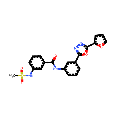 CS(=O)(=O)Nc1cccc(C(=O)Nc2cccc(-c3nnc(-c4ccco4)o3)c2)c1